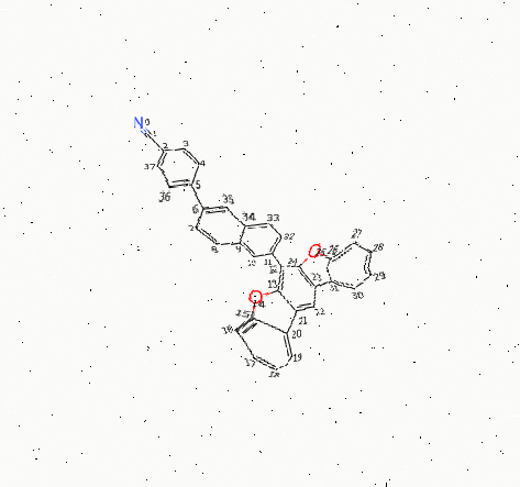 N#Cc1ccc(-c2ccc3cc(-c4c5oc6ccccc6c5cc5c4oc4ccccc45)ccc3c2)cc1